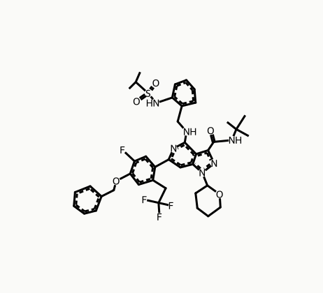 CC(C)S(=O)(=O)Nc1ccccc1CNc1nc(-c2cc(F)c(OCc3ccccc3)cc2CC(F)(F)F)cc2c1c(C(=O)NC(C)(C)C)nn2C1CCCCO1